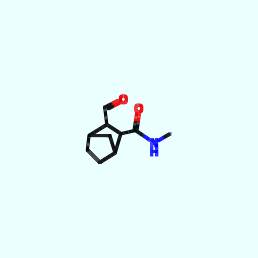 CNC(=O)C1C2CCC(C2)C1C=O